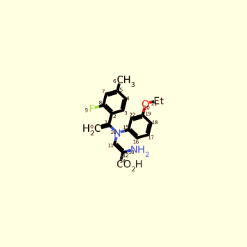 C=C(c1ccc(C)cc1F)N(/C=C(\N)C(=O)O)c1cccc(OCC)c1